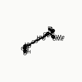 CCC(C)(C)C(=O)C(=O)N1CCCC[C@H]1C(=O)C[C@H](CCc1ccc(OC)c(OC)c1)c1cccc(NC(=O)CCC(=O)NCCCOCCOCCOCCCNC(=O)COc2cccc3c2C(=O)N(C2CCC(=O)NC2=O)C3=O)c1